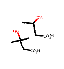 CC(C)(O)CC(=O)O.CC(O)CC(=O)O